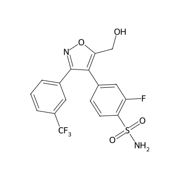 NS(=O)(=O)c1ccc(-c2c(-c3cccc(C(F)(F)F)c3)noc2CO)cc1F